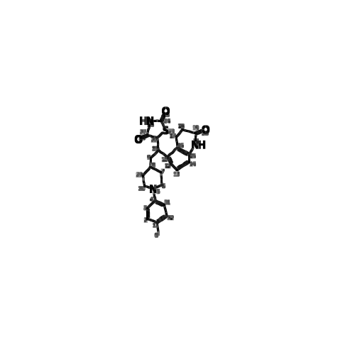 Cc1ccc(N2CCC(CC(c3cccc4c3CCC(=O)N4)C3SC(=O)NC3=O)CC2)cc1